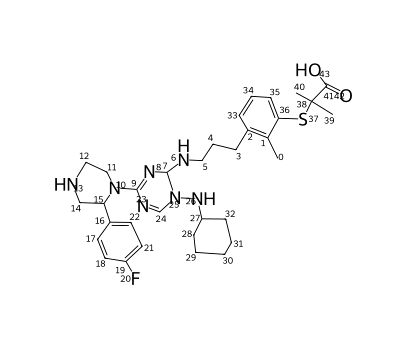 Cc1c(CCCNC2N=C(N3CCNCC3c3ccc(F)cc3)N=CN2NC2CCCCC2)cccc1SC(C)(C)C(=O)O